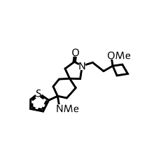 CNC1(c2cccs2)CCC2(CC1)CC(=O)N(CCC1(OC)CCC1)C2